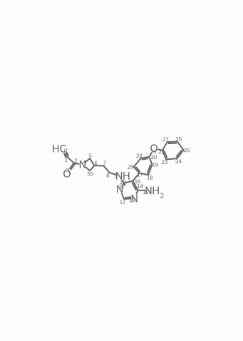 C#CC(=O)N1CC(CCNc2ncnc(N)c2-c2ccc(Oc3ccccc3)cc2)C1